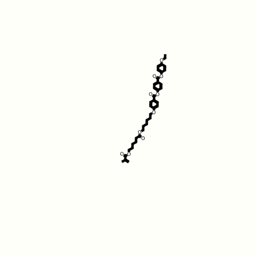 C=C(C)C(=O)OCCCCCC(=O)OCCCCCCOc1ccc(C(=O)Oc2ccc(C(=O)Oc3ccc(OCC)cc3)cc2)cc1